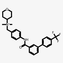 C[N+](C)(Cc1ccc(NC(=O)c2cccc(-c3ccc(C(F)(F)F)cc3)c2)cc1)C1CCOCC1